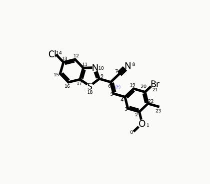 COc1cc(/C=C(\C#N)c2nc3cc(Cl)ccc3s2)cc(Br)c1C